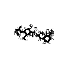 CCC1=C(c2c(C)cnn2C)CC(=S)C(C(=O)N[C@H](CN)Cc2cccc(C(F)(F)F)c2)=C1